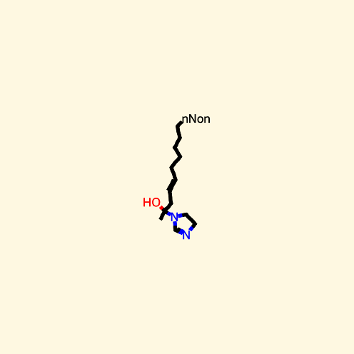 CCCCCCCCCCCCCC/C=C/CC(C)(O)N1C=NCC1